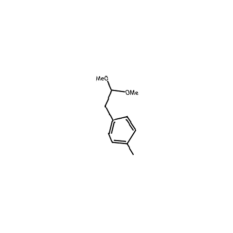 COC(Cc1ccc(C)cc1)OC